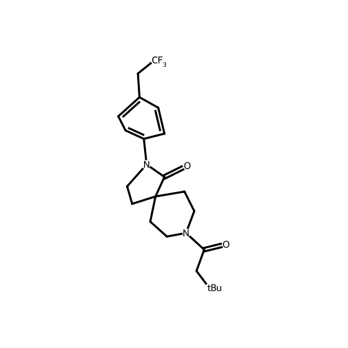 CC(C)(C)CC(=O)N1CCC2(CC1)CCN(c1ccc(CC(F)(F)F)cc1)C2=O